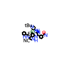 CC[C@@H](Nc1c(C#N)cnc2c(N[C@@H](c3cccc(C(=O)N(C)C)c3)c3cn(C4CCN(C(C)(C)C)CC4)nn3)cc(Cl)cc12)c1ccccc1